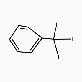 IC(I)(I)c1ccccc1